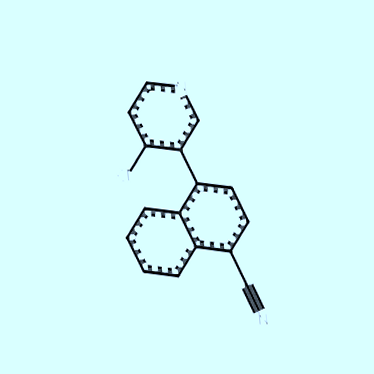 N#Cc1ccc(-c2cnccc2Cl)c2ccccc12